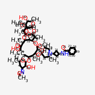 CO/N=C1\C[C@@H](C)O[C@@H](O[C@@H]2[C@@H](C)[C@H](O[C@H]3CC(C)N([C@H]4C[C@H](NC(=O)c5ccccc5)C4)C[C@H](C)O3)[C@@H](C)C(=O)O[C@H]([C@@H](C)CO[C@@H]3O[C@H](C)[C@@H](O)[C@@H](OC)[C@H]3OC)[C@H](C)[C@@H](OC(=O)CC(C)C)[C@@H](C)C(=O)[C@@](C)(O)C[C@@H]2C)[C@@H]1O